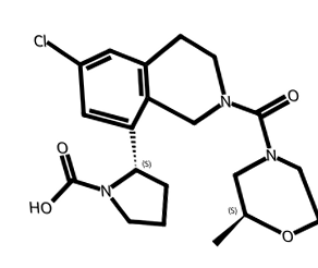 C[C@H]1CN(C(=O)N2CCc3cc(Cl)cc([C@@H]4CCCN4C(=O)O)c3C2)CCO1